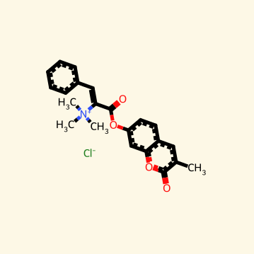 Cc1cc2ccc(OC(=O)C(=Cc3ccccc3)[N+](C)(C)C)cc2oc1=O.[Cl-]